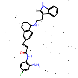 Cc1[nH]c2ccccc2c1CCNC1CCCc2cc(/C=C/C(=O)Nc3ccc(F)cc3N)ccc21